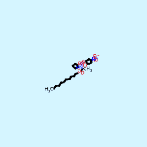 CCCCCCCCCCCCOC(=O)[C@H](C)NP(=O)(Oc1ccccc1)Oc1ccc([N+](=O)[O-])cc1